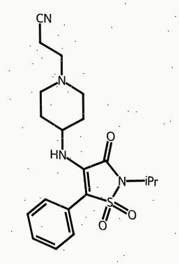 CC(C)N1C(=O)C(NC2CCN(CCC#N)CC2)=C(c2ccccc2)S1(=O)=O